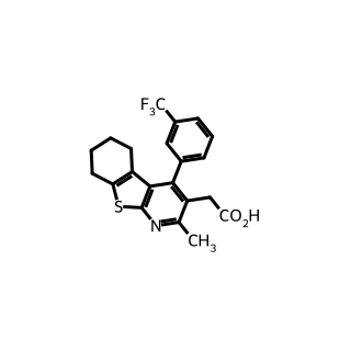 Cc1nc2sc3c(c2c(-c2cccc(C(F)(F)F)c2)c1CC(=O)O)CCCC3